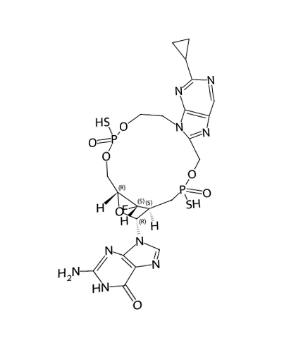 Nc1nc2c(ncn2[C@@H]2O[C@@H]3COP(=O)(S)OCCn4c(nc5cnc(C6CC6)nc54)COP(=O)(S)C[C@@H]2[C@@H]3F)c(=O)[nH]1